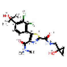 CCN(CC)C(=O)c1nc(C(=O)NCC2(O)CC2)sc1-c1ccc(C(O)(C(F)(F)F)C(F)(F)F)c(Cl)c1Cl